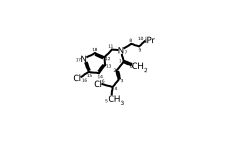 C=C(/C=C/C(C)Cl)N(CCC(C)C)Cc1ccc(Cl)nc1